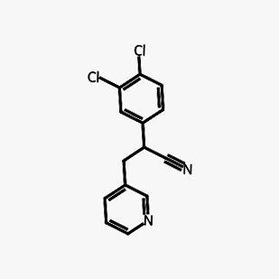 N#CC(Cc1cccnc1)c1ccc(Cl)c(Cl)c1